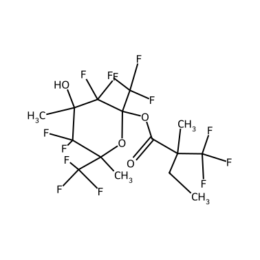 CCC(C)(C(=O)OC1(C(F)(F)F)OC(C)(C(F)(F)F)C(F)(F)C(C)(O)C1(F)F)C(F)(F)F